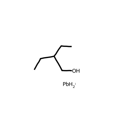 CCC(CC)CO.[PbH2]